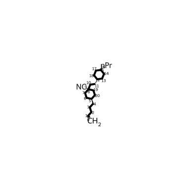 C=CCCC[C@H]1CC[C@@](C#N)(CC[C@H]2CC[C@H](CCC)CC2)CC1